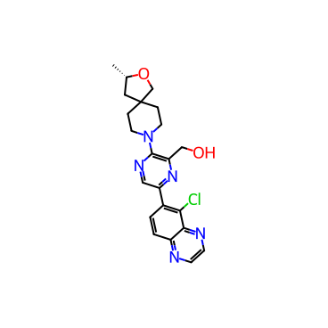 C[C@H]1CC2(CCN(c3ncc(-c4ccc5nccnc5c4Cl)nc3CO)CC2)CO1